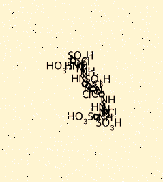 O=S(=O)(O)c1ccc(Nc2nc(Cl)nc(NCCNc3ccc4c(c3)Oc3c(Cl)c5c(c(Cl)c3=N4)Oc3c(ccc(NCCNc4nc(Cl)nc(Nc6ccc(S(=O)(=O)O)cc6S(=O)(=O)O)n4)c3S(=O)(=O)O)N=5)n2)c(S(=O)(=O)O)c1